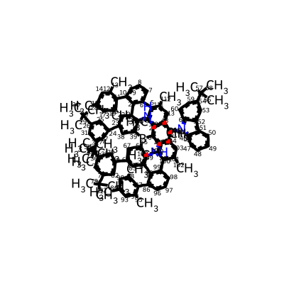 Cc1cc(C)c(-c2cccc(-c3c(C)cc(C)cc3C)c2-c2cc(-c3cc(C(C)(C)C)cc(C(C)(C)C)c3)cc3c2Nc2cc(-n4c5ccccc5c5cc(C(C)(C)C)ccc54)cc4c2B3c2cc(-c3cc(C(C)(C)C)cc(C(C)(C)C)c3)cc(-c3c(-c5c(C)cc(C)cc5C)cccc3-c3c(C)cc(C)cc3C)c2N4)c(C)c1